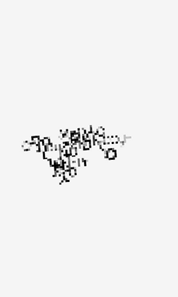 C=C(C)[C@@H](C(=O)N[C@H](C(=O)N(C)[C@@H]([C@@H](C)CC)[C@@H](CC(=O)N1CCC[C@H]1[C@H](OC)[C@@H](C)C(=O)N[C@@H](Cc1ccccc1)C(=O)O)OC)C(C)C)N(C)C(=O)CCCCCN1C(=O)C=CC1=O